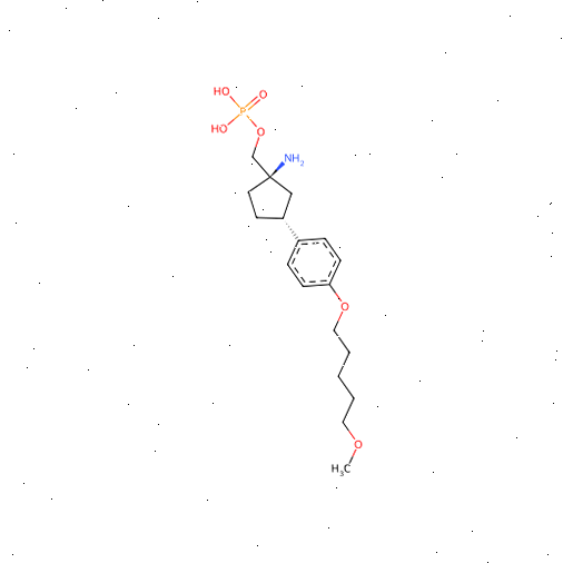 COCCCCCOc1ccc([C@@H]2CC[C@](N)(COP(=O)(O)O)C2)cc1